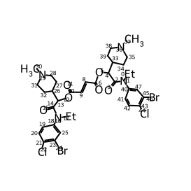 CCN(C(=O)C(OC(=O)/C=C/C(=O)OC(C(=O)N(CC)c1ccc(Cl)c(Br)c1)C1CCN(C)CC1)C1CCN(C)CC1)c1ccc(Cl)c(Br)c1